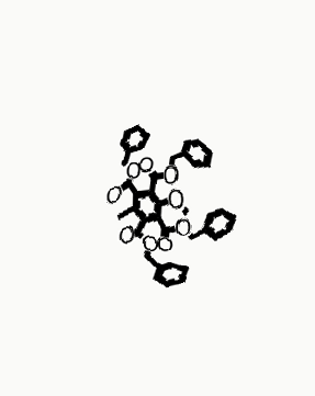 COc1c(C(=O)OCc2ccccc2)c(C(=O)OCc2ccccc2)c(C)c(C(=O)OCc2ccccc2)c1C(=O)OCc1ccccc1